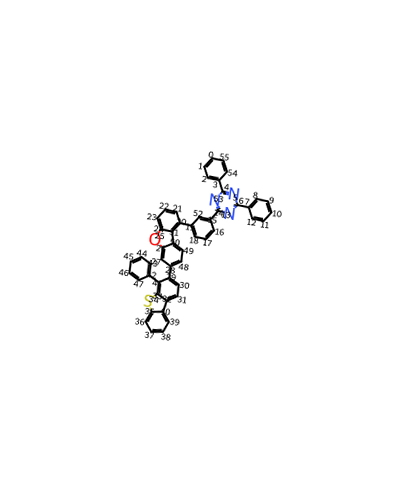 c1ccc(-c2nc(-c3ccccc3)nc(-c3cccc(-c4cccc5oc6cc(-c7ccc8c(sc9ccccc98)c7-c7ccccc7)ccc6c45)c3)n2)cc1